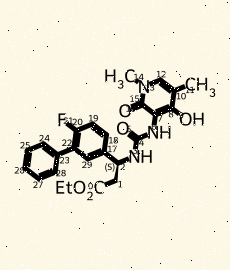 CCOC(=O)C[C@H](NC(=O)Nc1c(O)c(C)cn(C)c1=O)c1ccc(F)c(-c2ccccc2)c1